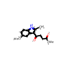 COC(=O)CCC(=O)c1c(C)[nH]c2ccc(OC)cc12